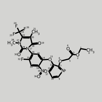 CCOC(=O)COc1ncccc1Oc1cc(-n2c(=O)c(C)c(C(F)(F)F)n(C)c2=O)c(F)cc1[N+](=O)[O-]